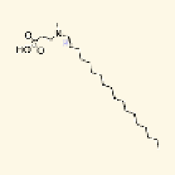 CCCCCCCCCCCCCCCC/C=C/N(C)CCS(=O)(=O)O